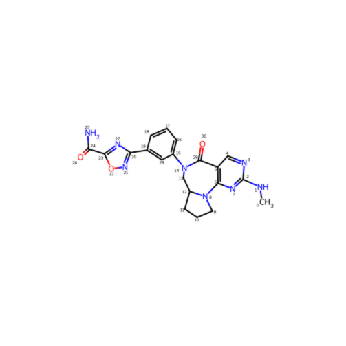 CNc1ncc2c(n1)N1CCCC1CN(c1cccc(-c3noc(C(N)=O)n3)c1)C2=O